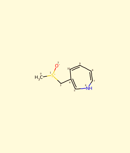 C[S+]([O-])CC1=CNC=CC=C1